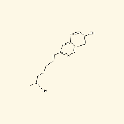 CC(O)CCC/C=C/c1cc2ccc(O)cc2cn1